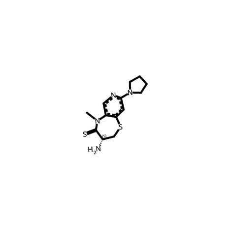 CN1C(=S)[C@@H](N)CSc2cc(N3CCCC3)ncc21